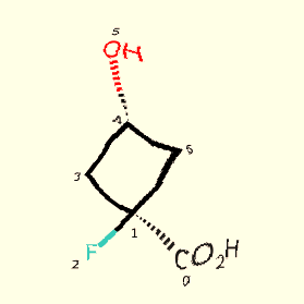 O=C(O)[C@]1(F)C[C@H](O)C1